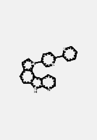 c1ccc(-c2ccc(-n3ccc4ccc5[nH]c6ncccc6c5c43)cn2)nc1